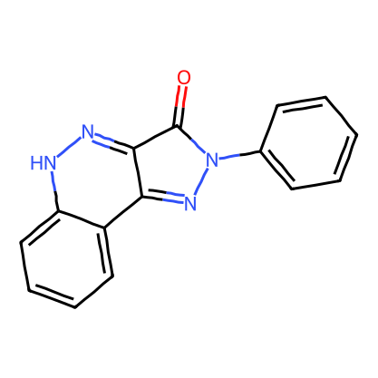 O=c1c2n[nH]c3ccccc3c-2nn1-c1ccccc1